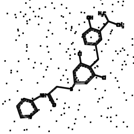 CC(C)c1cc(Cc2c(Cl)cc(SCC(=O)Nc3cccnc3)cc2Cl)ccc1O